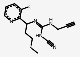 C#CCNC(=NC(CCSC)c1ncccc1Cl)NC#N